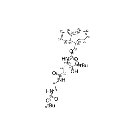 CC(C)(C)OC(=O)NCCNC(=O)CC[C@H](NC(=O)OCC1c2ccccc2-c2ccccc21)C(O)OC(C)(C)C